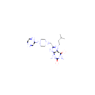 CC(C)CCn1c(CN2CCN(c3cnccn3)CC2)nc2c1c(=O)n(C)c(=O)n2C